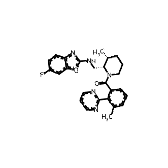 Cc1cccc(C(=O)N2CCC[C@@H](C)[C@H]2CNc2nc3ccc(F)cc3o2)c1-c1ncccn1